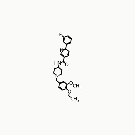 CCOc1ccc(CN2CCC(NC(=O)c3ccc(-c4cccc(F)c4)nc3)CC2)cc1OC